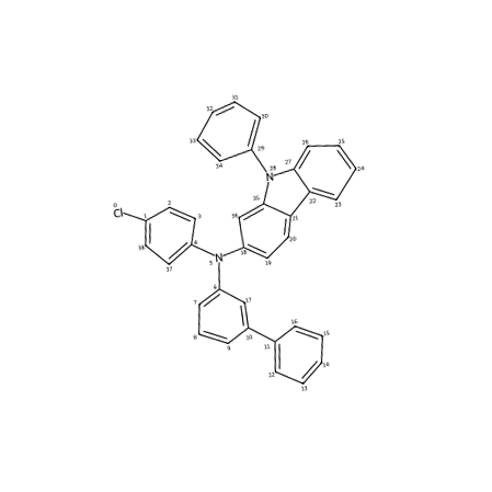 Clc1ccc(N(c2cccc(-c3ccccc3)c2)c2ccc3c4ccccc4n(-c4ccccc4)c3c2)cc1